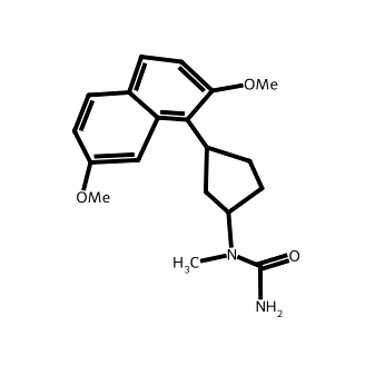 COc1ccc2ccc(OC)c(C3CCC(N(C)C(N)=O)C3)c2c1